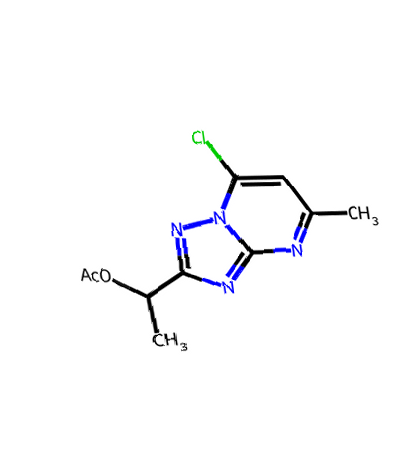 CC(=O)OC(C)c1nc2nc(C)cc(Cl)n2n1